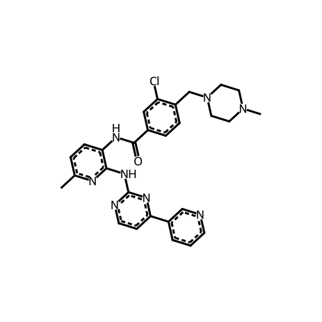 Cc1ccc(NC(=O)c2ccc(CN3CCN(C)CC3)c(Cl)c2)c(Nc2nccc(-c3cccnc3)n2)n1